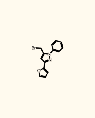 BrCc1cc(-c2ccco2)nn1-c1ccccc1